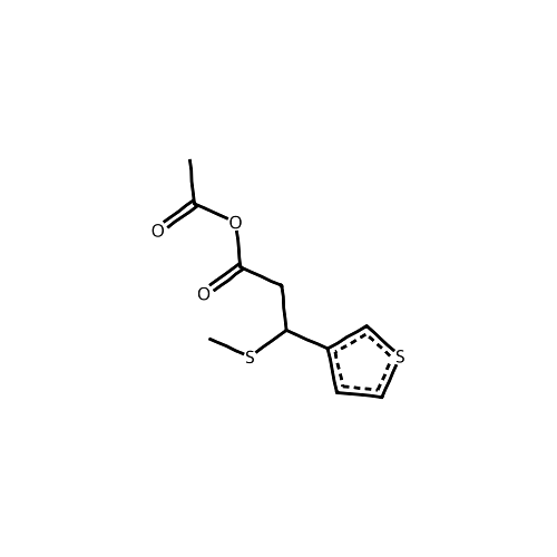 CSC(CC(=O)OC(C)=O)c1ccsc1